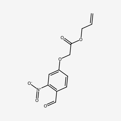 C=CCOC(=O)COc1ccc(C=O)c([N+](=O)[O-])c1